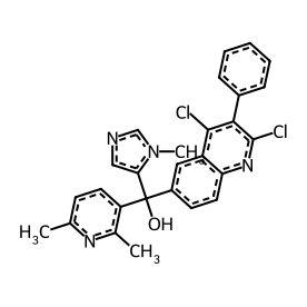 Cc1ccc(C(O)(c2ccc3nc(Cl)c(-c4ccccc4)c(Cl)c3c2)c2cncn2C)c(C)n1